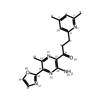 Cc1cc(C)nc(CCC(=O)c2nc(C)c(-c3ncco3)nc2N)c1